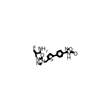 NC/C(=C\F)Cn1ncn(Cc2ccc(-c3ccc(-c4noc(=O)[nH]4)cc3)s2)c1=O